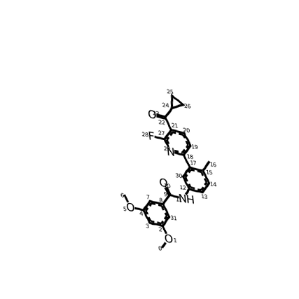 COc1cc(OC)cc(C(=O)Nc2ccc(C)c(-c3ccc(C(=O)C4CC4)c(F)n3)c2)c1